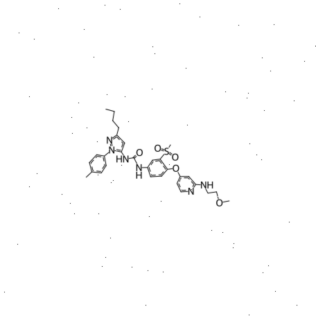 CCCCc1cc(NC(=O)Nc2ccc(Oc3ccnc(NCCOC)c3)c(S(C)(=O)=O)c2)n(-c2ccc(C)cc2)n1